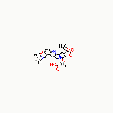 CC(=O)O.CC[C@@]1(O)C(=O)OCc2c1cc1n(c2=O)Cc2cc3c(CN(C)C)c(O)ccc3nc2-1